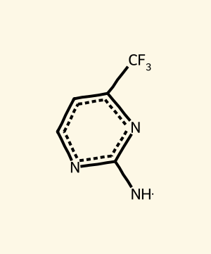 [NH]c1nccc(C(F)(F)F)n1